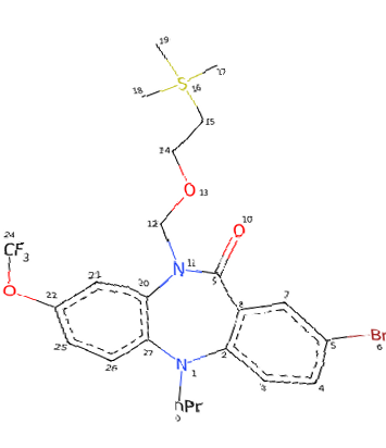 CCCN1c2ccc(Br)cc2C(=O)N(COCCS(C)(C)C)c2cc(OC(F)(F)F)ccc21